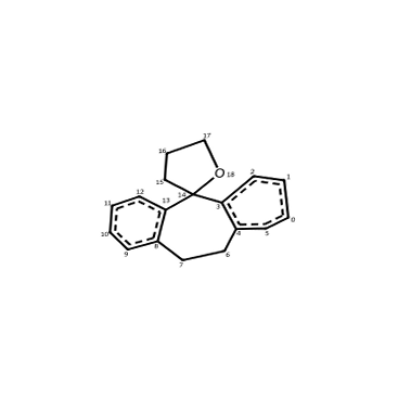 c1ccc2c(c1)CCc1ccccc1C21CCCO1